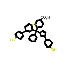 O=C(O)c1ccc(C(c2ccccc2)(c2cc(-c3ccc(S)cc3)ccc2S)C2C=CC(c3ccc(S)cc3)=C2)cc1